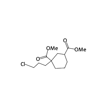 COC(=O)C1CCCC(CCCCl)(C(=O)OC)C1